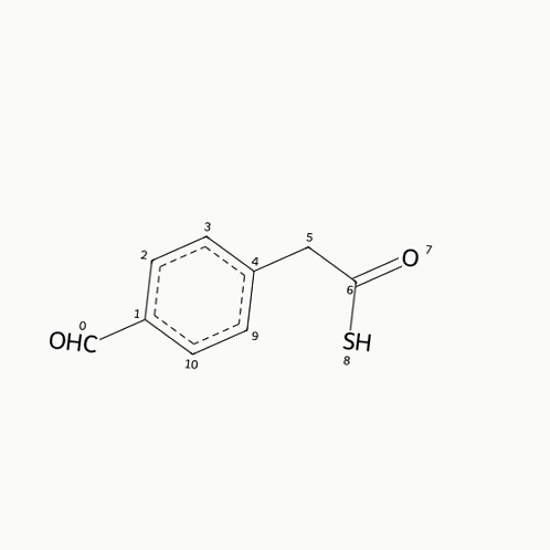 O=Cc1ccc(CC(=O)S)cc1